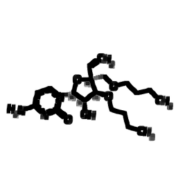 C=C[C@]1(COCCCC)O[C@@H](n2ccc(N)nc2=O)[C@H](O)[C@@H]1OCCCC